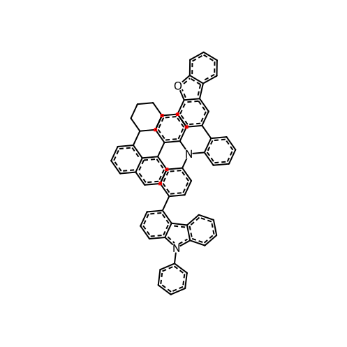 c1ccc(-n2c3ccccc3c3c(-c4ccc(N(c5ccccc5-c5ccc6oc7ccccc7c6c5)c5ccccc5-c5cccc6cccc(C7CCCCC7)c56)cc4)cccc32)cc1